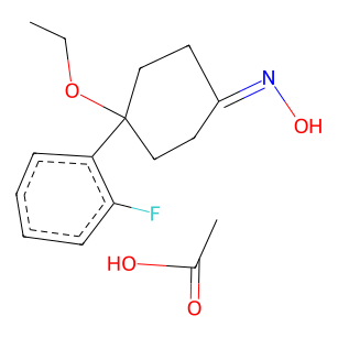 CC(=O)O.CCOC1(c2ccccc2F)CCC(=NO)CC1